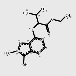 CCOC(=O)C(Sc1ncnc2c(O)n(C)nc12)C(C)C